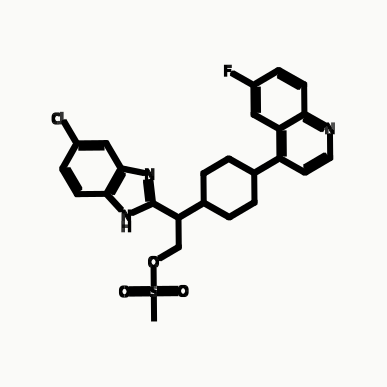 CS(=O)(=O)OCC(c1nc2cc(Cl)ccc2[nH]1)C1CCC(c2ccnc3ccc(F)cc23)CC1